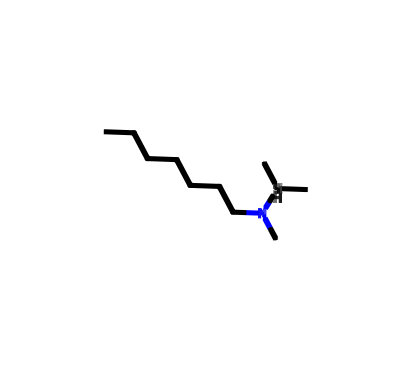 CCCCCCCN(C)[SiH](C)C